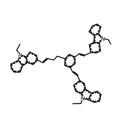 CCn1c2ccccc2c2cc(/C=C/CCc3cc(/C=C/c4ccc5c(c4)c4ccccc4n5CC)cc(/C=C/c4ccc5c(c4)c4ccccc4n5CC)c3)ccc21